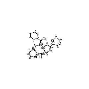 O=C(C1CCCCC1)N1Cc2cccnc2Nc2ccc(C3COCCO3)cc21